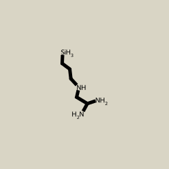 NC(N)CNCCC[SiH3]